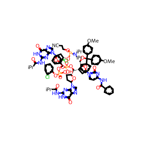 COc1ccc(C(OC[C@@H]2O[C@@H](n3ccc(NC(=O)c4ccccc4)nc3=O)C[C@@H]2C(OP(=O)(O)Oc2ccccc2Cl)[C@@H]2O[C@@H](n3cnc4c(=O)[nH]c(NC(=O)C(C)C)nc43)C[C@@H]2OP(=O)(OC[C@H]2O[C@@H](n3cnc4c(=O)[nH]c(NC(=O)C(C)C)nc43)C[C@@H]2OP(OCCC#N)N(C(C)C)C(C)C)Oc2ccccc2Cl)(c2ccccc2)c2ccc(OC)cc2)cc1